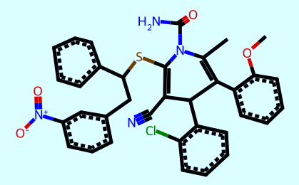 COc1ccccc1C1=C(C)N(C(N)=O)C(SC(Cc2cccc([N+](=O)[O-])c2)c2ccccc2)=C(C#N)C1c1ccccc1Cl